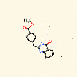 COC(=O)c1ccc(Cc2nc3ccccc3c(=O)[nH]2)cc1